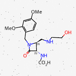 COc1ccc(CN2C(=O)[C@@H](NC(=O)O)[C@@H]2CNCCO)c(OC)c1